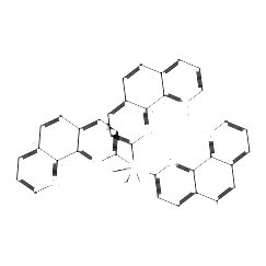 [Cl][Co]([Cl])([Cl])([c]1ccc2ccc3cccnc3c2n1)([c]1ccc2ccc3cccnc3c2n1)[c]1ccc2ccc3cccnc3c2n1